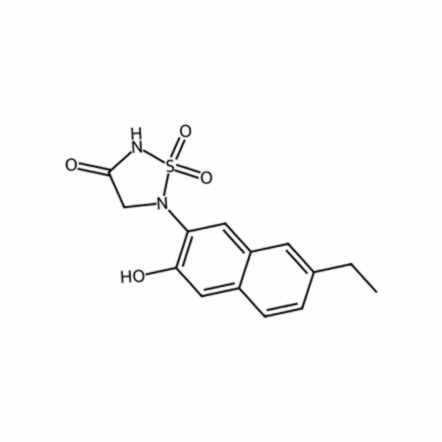 CCc1ccc2cc(O)c(N3CC(=O)NS3(=O)=O)cc2c1